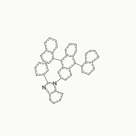 c1ccc(-c2nc3ccccc3n2-c2ccc3c(-c4cccc5ccccc45)c4ccccc4c(-c4cccc5ccccc45)c3c2)cc1